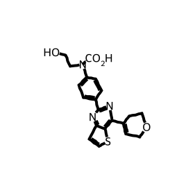 O=C(O)N(CCO)c1ccc(-c2nc(C3=CCOCC3)c3sccc3n2)cc1